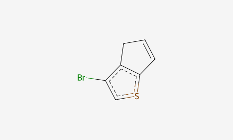 Brc1csc2c1CC=C2